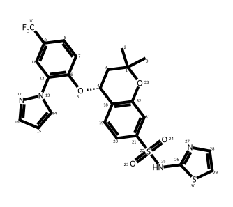 CC1(C)C[C@@H](Oc2ccc(C(F)(F)F)cc2-n2cccn2)c2ccc(S(=O)(=O)Nc3nccs3)cc2O1